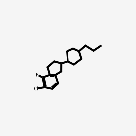 CCCC1CCC(C2CCc3c(ccc(Cl)c3F)C2)CC1